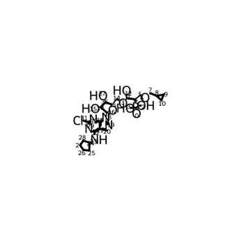 O=P(O)(O)[C@H](COCC1CC1)[C@H](O)OC[C@H]1O[C@H](n2ncc3c(NC4CCCC4)nc(Cl)nc32)[C@H](O)[C@@H]1O